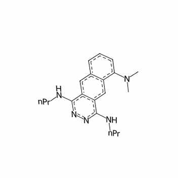 CCCNc1nnc(NCCC)c2cc3c(N(C)C)cccc3cc12